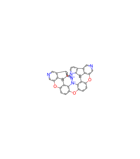 c1cc2c3[n+](c1)[N+]14c5c(ccc6c5B3c3c(cncc3-2)O6)Oc2ccc3c(c21)B1c2c(cncc2-c2ccc[n+]4c21)O3